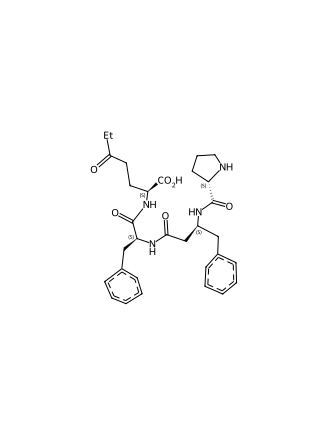 CCC(=O)CC[C@H](NC(=O)[C@H](Cc1ccccc1)NC(=O)C[C@H](Cc1ccccc1)NC(=O)[C@@H]1CCCN1)C(=O)O